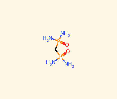 NP(N)(=O)CP(N)(N)=O